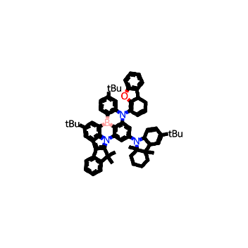 CC(C)(C)C1=CC2C(C=C1)N(c1cc3c4c(c1)-n1c5c(c6cc(C(C)(C)C)cc(c61)B4c1ccc(C(C)(C)C)cc1N3C1=C3Oc4ccccc4C3CC=C1)-c1ccccc1C5(C)C)C1(C)CCCCC21C